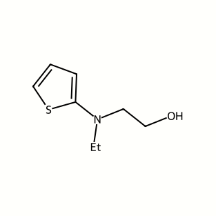 CCN(CCO)c1cccs1